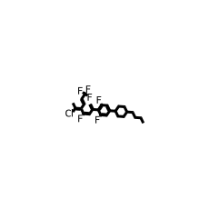 C=C(/C=C(/F)C(/C=C/C(F)(F)F)=C(C)Cl)c1c(F)cc(C2CCC(CCCC)CC2)cc1F